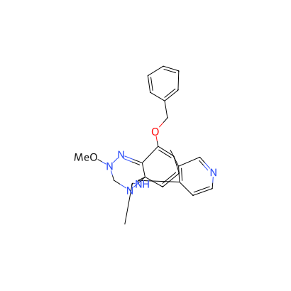 CON1CN2C(C)NC(c3ccncc3C)C23C=CC=C(OCc2ccccc2)C3=N1